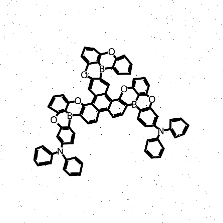 c1ccc(N(c2ccccc2)c2ccc3c(c2)Oc2cccc4c2B3c2ccc3c5ccc6c(c5c5cc7c(cc5c3c2O4)Oc2cccc3c2B7c2ccccc2O3)Oc2cccc3c2B6c2ccc(N(c4ccccc4)c4ccccc4)cc2O3)cc1